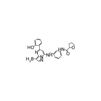 Bc1cnn2c(NCc3cccc(NC(=O)C4CCCO4)c3)cc(-c3ccccc3O)nc12